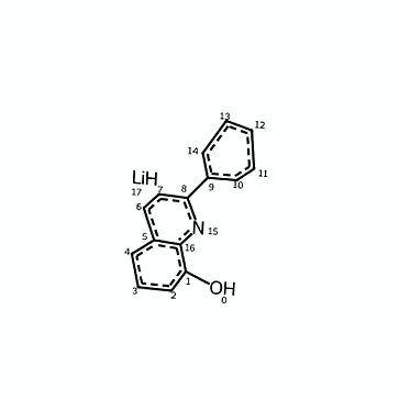 Oc1cccc2ccc(-c3ccccc3)nc12.[LiH]